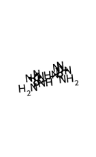 N#CC(C#N)=C1CC(N)CC(NCCCCCCNC2=C(C#N)C(=C(C#N)C#N)CC(N)C2)=C1C#N